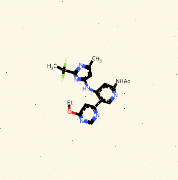 CCOc1cc(-c2cnc(NC(C)=O)cc2Nc2cc(C)nc(C(C)(F)F)n2)ncn1